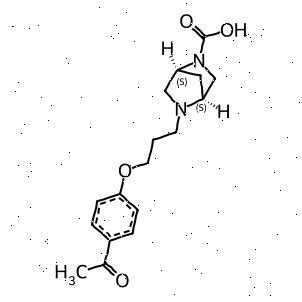 CC(=O)c1ccc(OCCCN2C[C@@H]3C[C@H]2CN3C(=O)O)cc1